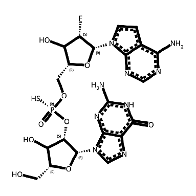 Nc1nc2c(ncn2[C@@H]2O[C@H](CO)C(O)[C@@H]2O[P@](=O)(S)OC[C@H]2O[C@@H](n3ccc4c(N)ncnc43)[C@@H](F)C2O)c(=O)[nH]1